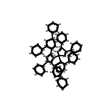 c1ccc(C2=NC(c3ccc(-c4ccccc4)cc3-c3ccccc3)(n3c(-c4ccc(-c5ccccc5)cc4-c4ccccc4)nc(-c4ccccc4)c3-c3ccccc3)N=C2c2ccccc2)cc1